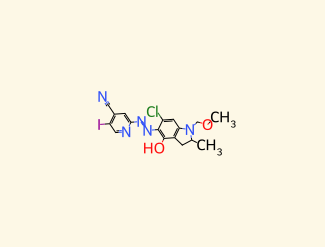 COCN1c2cc(Cl)c(N=Nc3cc(C#N)c(I)cn3)c(O)c2CC1C